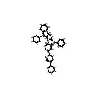 c1ccc(-c2ccc(-c3ccc4c(c3)n(-c3ccccc3)c3nc5c6ccccc6n(-c6ccccc6)c5n43)nc2)cc1